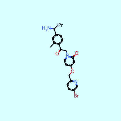 Cc1cc(C(N)C(C)C)ccc1C(=O)Cn1ccc(OCc2ccc(Br)cn2)cc1=O